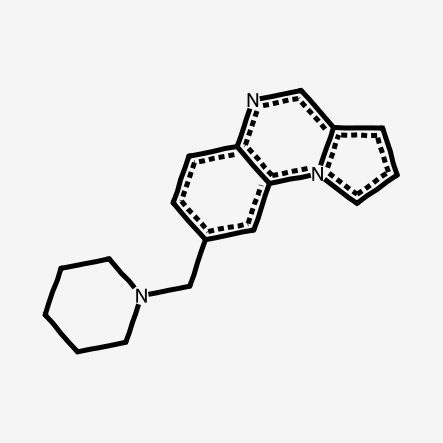 c1cc2cnc3ccc(CN4CCCCC4)cc3n2c1